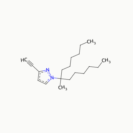 C#Cc1ccn(C(C)(CCCCCC)CCCCCC)n1